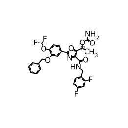 C[C@H](OC(N)=O)c1oc(-c2ccc(OC(F)F)c(OCc3ccccc3)c2)nc1C(=O)NCc1ccc(F)cc1F